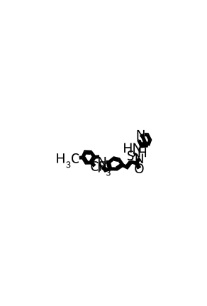 Cc1ccc(Cn2ncc3cc(/C=C4\SC(N[C@@H]5CN6CCC5CC6)=NC4=O)ccc32)c(C(F)(F)F)c1